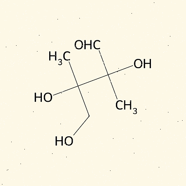 CC(O)(C=O)C(C)(O)CO